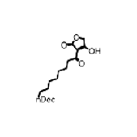 CCCCCCCCCCCCCCCCCC(=O)C1=C(O)COC1=O